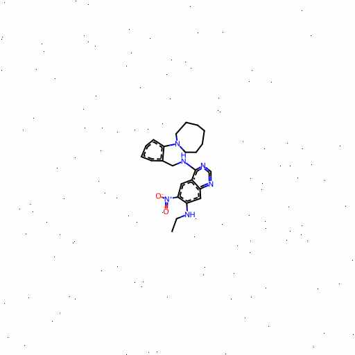 CCNc1cc2ncnc(NCc3ccccc3N3CCCCCCC3)c2cc1[N+](=O)[O-]